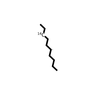 CCCC[CH]CC[14CH2]CC